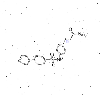 NC(=O)/C=C/c1ccc(NS(=O)(=O)c2ccc(-c3ccccc3)cc2)cc1